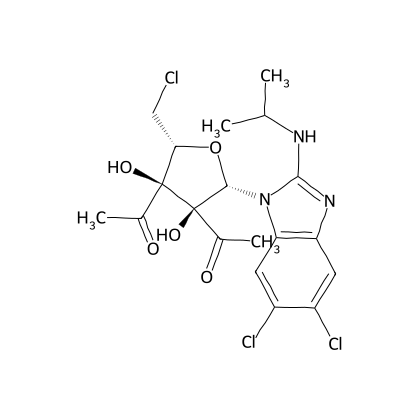 CC(=O)[C@@]1(O)[C@@H](n2c(NC(C)C)nc3cc(Cl)c(Cl)cc32)O[C@@H](CCl)[C@@]1(O)C(C)=O